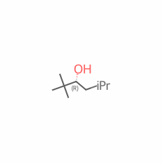 CC(C)C[C@@H](O)C(C)(C)C